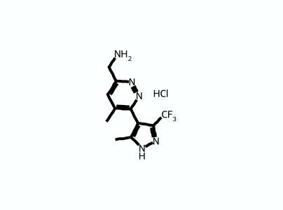 Cc1cc(CN)nnc1-c1c(C(F)(F)F)n[nH]c1C.Cl